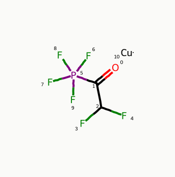 O=C(C(F)F)P(F)(F)(F)F.[Cu]